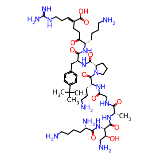 C[C@H](NC(=O)[C@@H](NC(=O)[C@@H](N)CCCCN)[C@@H](O)CN)C(=O)NCC(=O)N[C@H](CCCN)C(=O)N1CCC[C@H]1C(=O)N[C@@H](Cc1ccc(C(C)(C)C)cc1)C(=O)N[C@@H](CCCCN)C(=O)CC/C(=C\CCNC(=N)N)C(=O)O